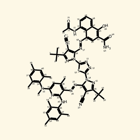 [C-]#[N+]c1c(C(C)(C)C)nn(-c2nnc(-n3nc(C(C)(C)C)c(C#N)c3N=Nc3c(C)cc(N(C)c4c(C)cc(C)cc4C)nc3Nc3c(C)cc(C)cc3C)s2)c1N=Nc1cc(C(N)=O)c(O)c2cccc(NC(C)=O)c12